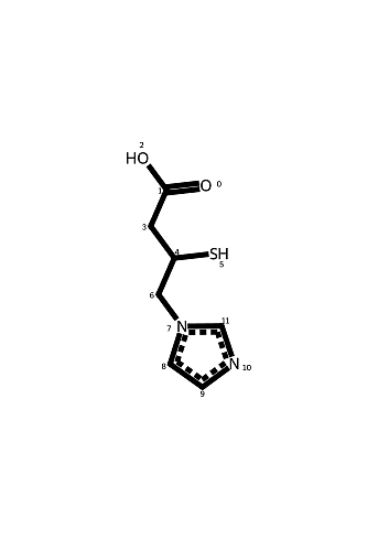 O=C(O)CC(S)Cn1ccnc1